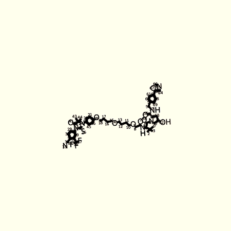 CC(C)(C)C(NC(=O)COCCCCOCCCCOc1ccc(N2C(=S)N(c3ccc(C#N)c(C(F)(F)F)c3)C(=O)C2(C)C)cc1)C(=O)N1C[C@H](O)C[C@H]1C(=O)NCc1ccc(-c2cnco2)cc1